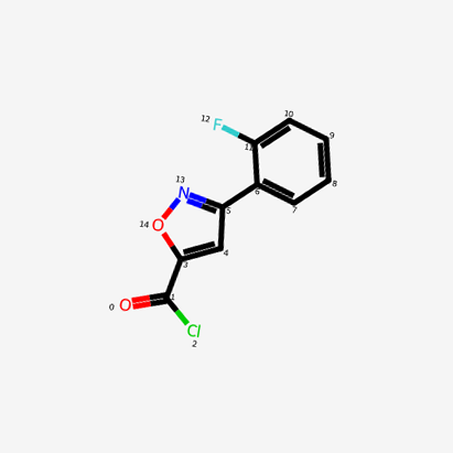 O=C(Cl)c1cc(-c2ccccc2F)no1